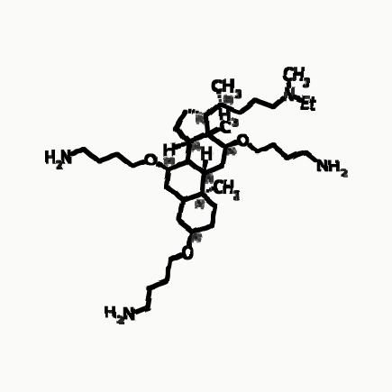 CCN(C)CCC[C@@H](C)[C@H]1CC[C@H]2C3[C@H](OCCCCN)CC4C[C@H](OCCCCN)CC[C@]4(C)[C@H]3C[C@H](OCCCCN)C12C